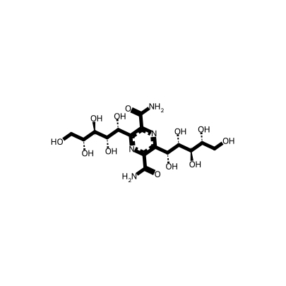 NC(=O)c1nc([C@@H](O)[C@H](O)[C@H](O)[C@H](O)CO)c(C(N)=O)nc1[C@@H](O)[C@H](O)[C@H](O)[C@H](O)CO